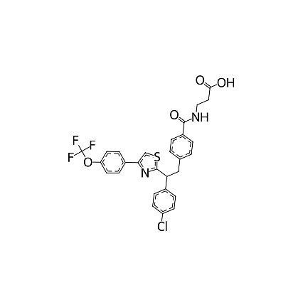 O=C(O)CCNC(=O)c1ccc(CC(c2ccc(Cl)cc2)c2nc(-c3ccc(OC(F)(F)F)cc3)cs2)cc1